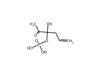 C=CCC(O)(OP(=O)(O)O)C(C)=O